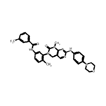 Cc1ccc(NC(=O)c2cccc(C(F)(F)F)c2)cc1N1Cc2cnc(Nc3ccc(N4CCOCC4)cc3)nc2N(C)C1=O